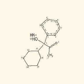 CC(=O)C(O)(c1ccccc1)C1CCCCC1.[HH]